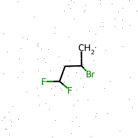 [CH2]C(Br)CC(F)F